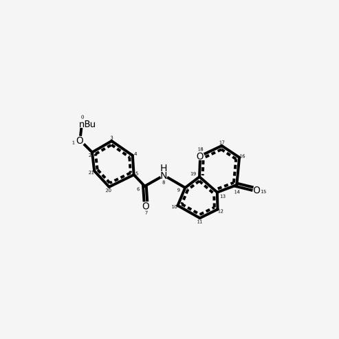 CCCCOc1ccc(C(=O)Nc2cccc3c(=O)c[c]oc23)cc1